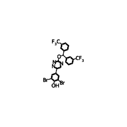 Oc1c(Br)cc(-c2cnc(OC(c3cccc(C(F)(F)F)c3)c3cccc(C(F)(F)F)c3)nn2)cc1Br